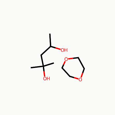 C1COCCO1.CC(O)CC(C)(C)O